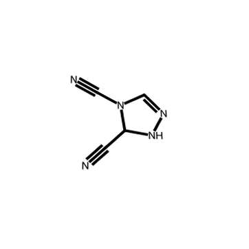 N#CC1NN=CN1C#N